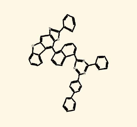 c1ccc(-c2ccc(-c3nc(-c4ccccc4)nc(-c4cccc5c(-c6c7oc(-c8ccccc8)nc7cc7oc8ccccc8c67)cccc45)n3)cc2)cc1